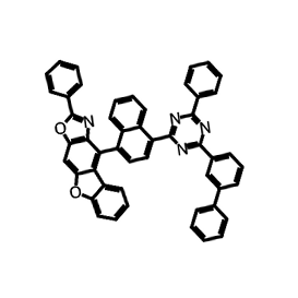 c1ccc(-c2cccc(-c3nc(-c4ccccc4)nc(-c4ccc(-c5c6nc(-c7ccccc7)oc6cc6oc7ccccc7c56)c5ccccc45)n3)c2)cc1